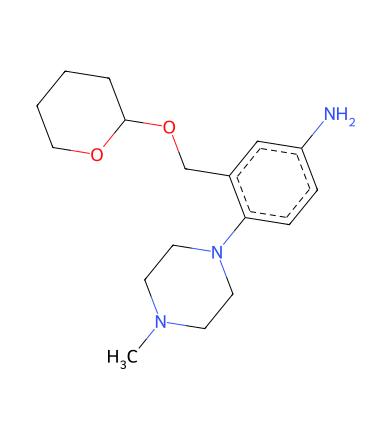 CN1CCN(c2ccc(N)cc2COC2CCCCO2)CC1